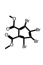 COC(=O)c1c(Br)c(Br)c(Br)c(Br)c1C(=O)OC